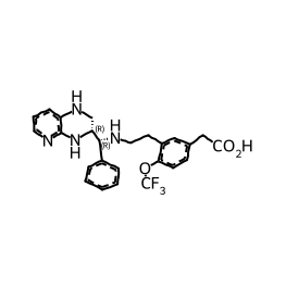 O=C(O)Cc1ccc(OC(F)(F)F)c(CCN[C@H](c2ccccc2)[C@H]2CNc3cccnc3N2)c1